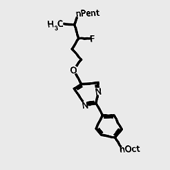 CCCCCCCCc1ccc(-c2ncc(OCCC(F)C(C)CCCCC)cn2)cc1